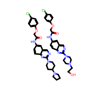 O=C(COc1ccc(Cl)cc1)Nc1ccc2nc(N3CCC(N4CCCC4)CC3)ncc2c1.O=C(COc1ccc(Cl)cc1)Nc1ccc2nc(N3CCN(CCO)CC3)ncc2c1